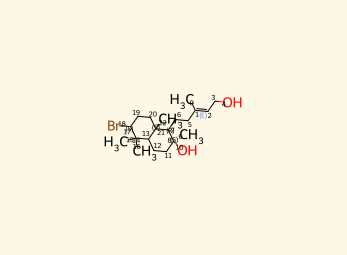 C/C(=C\CO)CC[C@H]1[C@@](C)(O)CCC2C(C)(C)[C@@H](Br)CC[C@@]21C